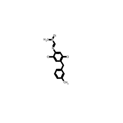 CCN(C)C=Nc1cc(Cl)c(Cc2cccc(C)c2)cc1Cl